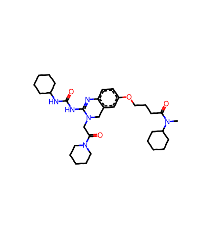 CN(C(=O)CCCOc1ccc2c(c1)CN(CC(=O)N1CCCCC1)C(NC(=O)NC1CCCCC1)=N2)C1CCCCC1